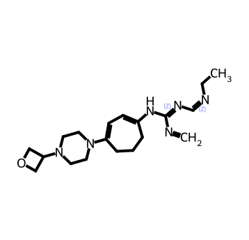 C=N/C(=N\C=N/CC)NC1=CC=C(N2CCN(C3COC3)CC2)CCC1